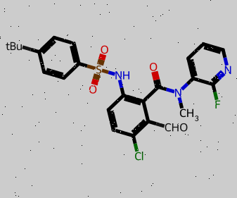 CN(C(=O)c1c(NS(=O)(=O)c2ccc(C(C)(C)C)cc2)ccc(Cl)c1C=O)c1cccnc1F